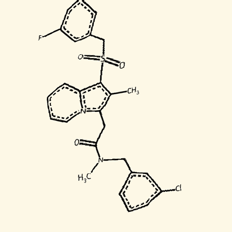 Cc1c(S(=O)(=O)Cc2cccc(F)c2)c2ccccn2c1CC(=O)N(C)Cc1cccc(Cl)c1